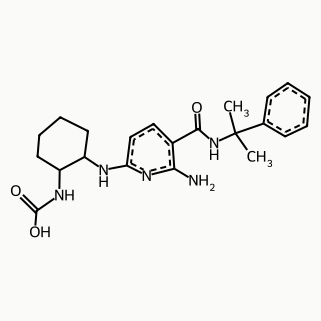 CC(C)(NC(=O)c1ccc(NC2CCCCC2NC(=O)O)nc1N)c1ccccc1